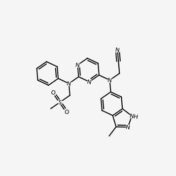 Cc1n[nH]c2cc(N(CC#N)c3ccnc(N(CS(C)(=O)=O)c4ccccc4)n3)ccc12